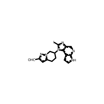 O=Cc1cc2n(n1)CC(n1c(I)nc3cnc4[nH]ccc4c31)CC2